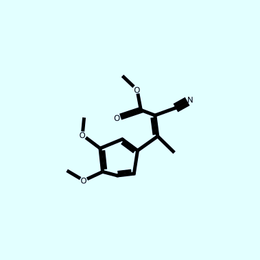 COC(=O)C(C#N)=C(C)c1ccc(OC)c(OC)c1